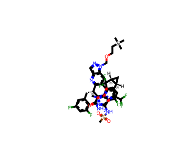 Cn1nc(NS(C)(=O)=O)c2c(Cl)ccc(-c3cc4c(cnn4COCC[Si](C)(C)C)nc3[C@@H](Cc3cc(F)cc(F)c3)C(C(N)=O)n3nc(C(F)F)c4c3C(F)(F)[C@@H]3C[C@H]43)c21